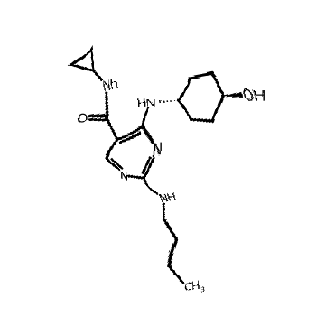 CCCCNc1ncc(C(=O)NC2CC2)c(N[C@H]2CC[C@H](O)CC2)n1